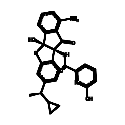 C[C@@H](c1ccc2c(c1)O[C@]1(O)c3cccc(N)c3C(=O)[C@]21NC(=O)c1cccc(O)n1)C1CC1